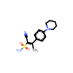 C/C(=C(/C#N)S(N)(=O)=O)c1ccc(N2CCCCC2)cc1